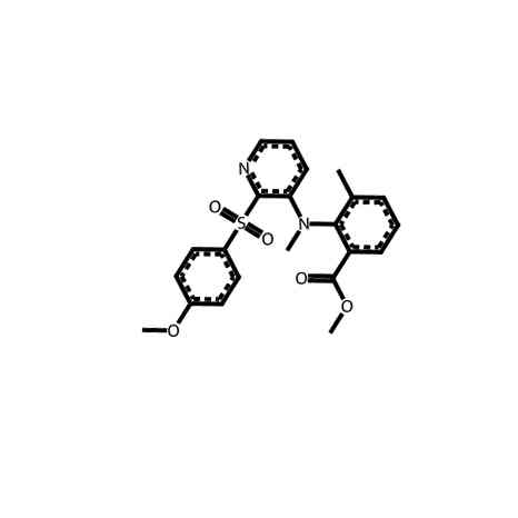 COC(=O)c1cccc(C)c1N(C)c1cccnc1S(=O)(=O)c1ccc(OC)cc1